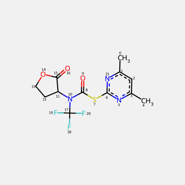 Cc1cc(C)nc(SC(=O)N(C2CCOC2=O)C(F)(F)F)n1